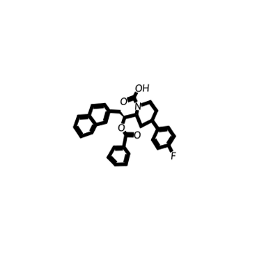 O=C(O[C@@H](Cc1ccc2ccccc2c1)C1CC(c2ccc(F)cc2)CCN1C(=O)O)c1ccccc1